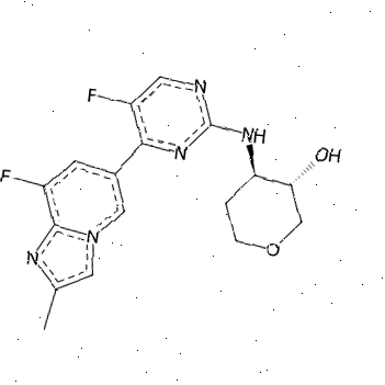 Cc1cn2cc(-c3nc(N[C@@H]4CCOC[C@H]4O)ncc3F)cc(F)c2n1